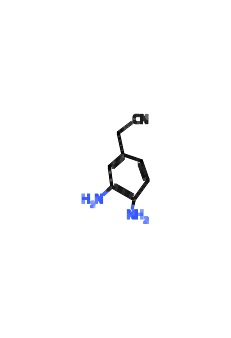 N#CCc1ccc(N)c(N)c1